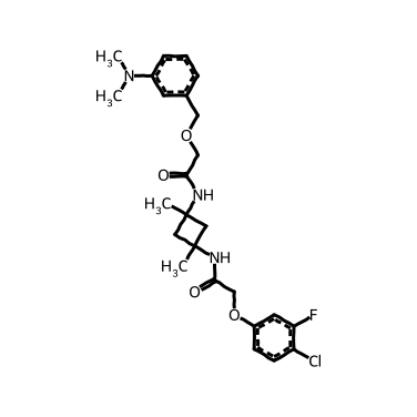 CN(C)c1cccc(COCC(=O)NC2(C)CC(C)(NC(=O)COc3ccc(Cl)c(F)c3)C2)c1